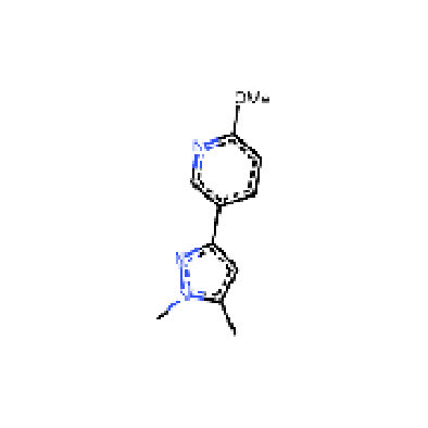 COc1ccc(-c2cc(C)n(C)n2)cn1